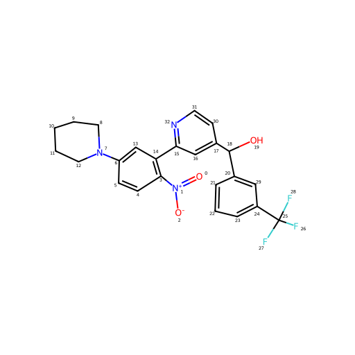 O=[N+]([O-])c1ccc(N2CCCCC2)cc1-c1cc(C(O)c2cccc(C(F)(F)F)c2)ccn1